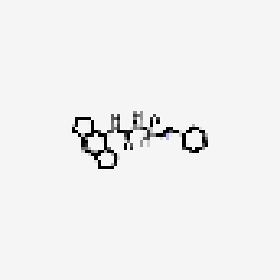 O=C(Nc1c2c(cc3c1CCC3)CCC2)NS(=O)(=O)/C=C/c1ccccc1